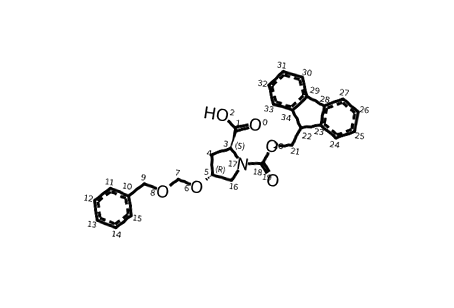 O=C(O)[C@@H]1C[C@@H](OCOCc2ccccc2)CN1C(=O)OCC1c2ccccc2-c2ccccc21